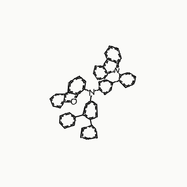 c1ccc(-c2ccc(N(c3ccc(-c4ccccc4-n4c5ccccc5c5ccccc54)cc3)c3cccc4c3oc3ccccc34)cc2-c2ccccc2)cc1